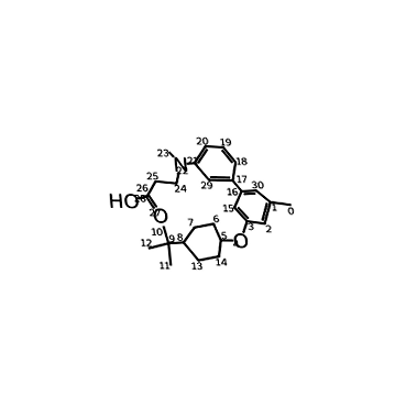 Cc1cc(OC2CCC(C(C)(C)C)CC2)cc(-c2cccc(N(C)CCC(=O)O)c2)c1